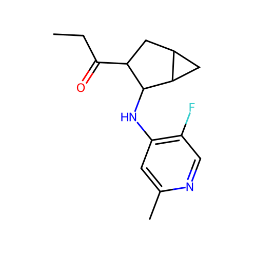 CCC(=O)C1CC2CC2C1Nc1cc(C)ncc1F